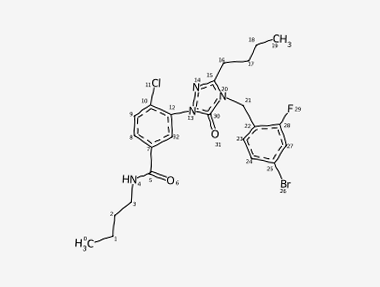 CCCCNC(=O)c1ccc(Cl)c(-n2nc(CCCC)n(Cc3ccc(Br)cc3F)c2=O)c1